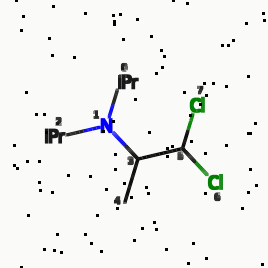 CC(C)N(C(C)C)C(C)C(Cl)Cl